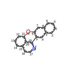 c1ccc2cc3c(cc2c1)Oc1cccc2ccnc-3c12